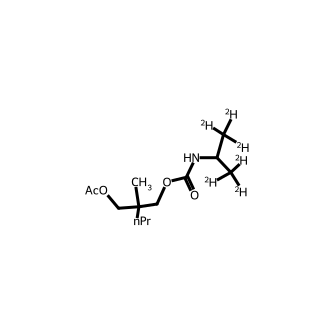 [2H]C([2H])([2H])C(NC(=O)OCC(C)(CCC)COC(C)=O)C([2H])([2H])[2H]